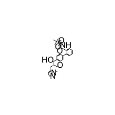 Cn1nccc1C[C@@H]1COc2cc(-c3ccccc3C(=O)NS(=O)(=O)C(C)(C)C)ccc2[C@H]1O